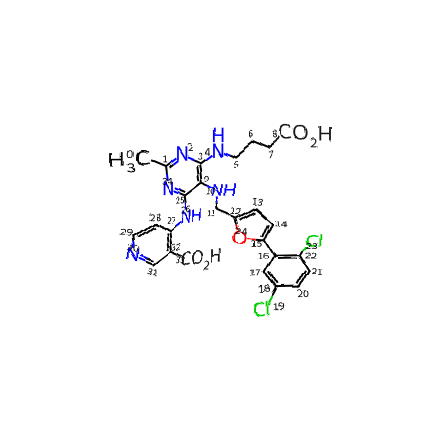 Cc1nc(NCCCC(=O)O)c(NCc2ccc(-c3cc(Cl)ccc3Cl)o2)c(Nc2ccncc2C(=O)O)n1